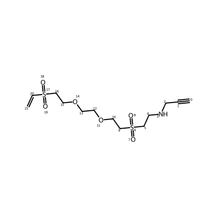 C#CCNCCS(=O)(=O)CCOCCOCCS(=O)(=O)C=C